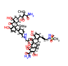 COc1ccc(CNCC(C)OC2=C3C(=O)c4c(O)ccc(C#CCNS(C)(=O)=O)c4C[C@H]3C[C@H]3CC(O)=C(C(N)=O)C(=O)[C@@]23O)cc1-c1ccc(O)c2c1CC1CC(C/C(O)=C(\C=O)C(N)=O)CC(O)=C1C2=O